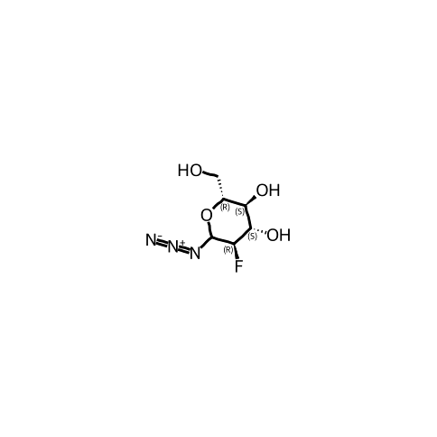 [N-]=[N+]=NC1O[C@H](CO)[C@@H](O)[C@H](O)[C@H]1F